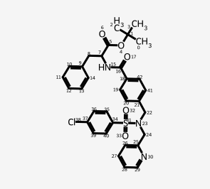 CC(C)(C)OC(=O)C(Cc1ccccc1)NC(=O)c1ccc(CN(Cc2ccccn2)S(=O)(=O)c2ccc(Cl)cc2)cc1